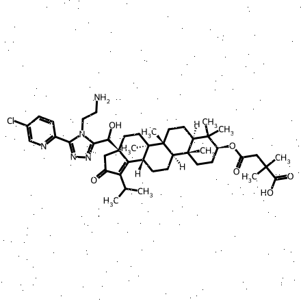 CC(C)C1=C2[C@H]3CC[C@@H]4[C@@]5(C)CC[C@H](OC(=O)CC(C)(C)C(=O)O)C(C)(C)[C@@H]5CC[C@@]4(C)[C@]3(C)CC[C@@]2(C(O)c2nnc(-c3ccc(Cl)cn3)n2CCN)CC1=O